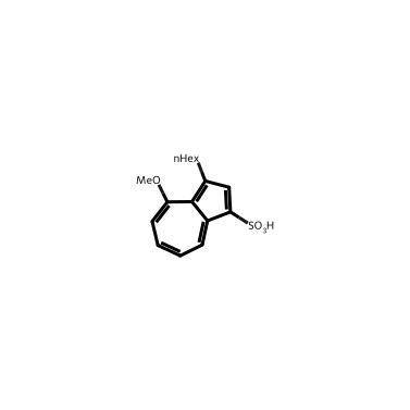 CCCCCCc1cc(S(=O)(=O)O)c2ccccc(OC)c1-2